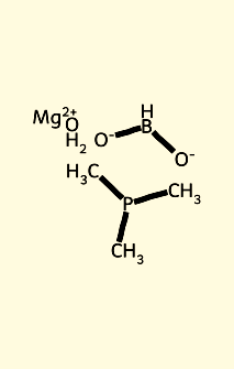 CP(C)C.O.[Mg+2].[O-]B[O-]